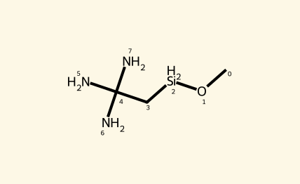 CO[SiH2]CC(N)(N)N